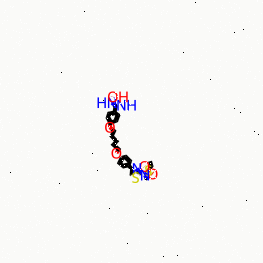 CCS(=O)(=O)N(C)c1nc(-c2ccc(OCCCCCOc3ccc(C(=N)NO)cc3)cc2)cs1